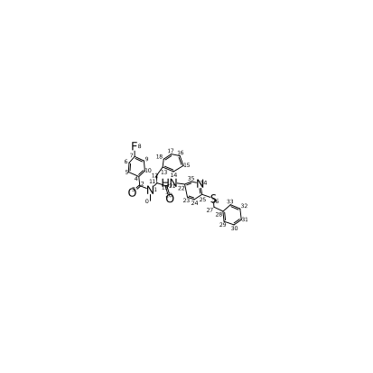 CN(C(=O)c1ccc(F)cc1)[C@@H](Cc1ccccc1)C(=O)Nc1ccc(SCc2ccccc2)nc1